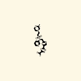 C[C@H]1CN(CCS(=O)(=O)N(Cc2ncc(-c3nnc(C(F)F)o3)s2)c2cccnc2)CCO1